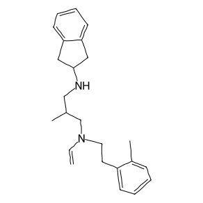 C=CN(CCc1ccccc1C)CC(C)CNC1Cc2ccccc2C1